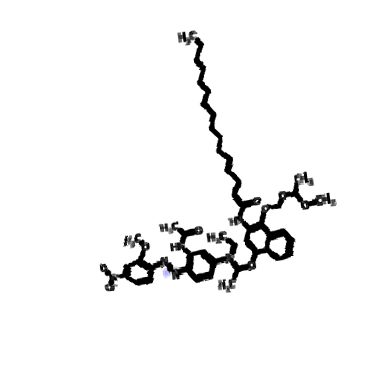 CCCCCCCCCCCCCCCC(=O)Nc1cc(OC(C)N(CC)c2ccc(/N=N/c3ccc([N+](=O)[O-])cc3OC)c(NC(C)=O)c2)c2ccccc2c1OCOC(C)OC